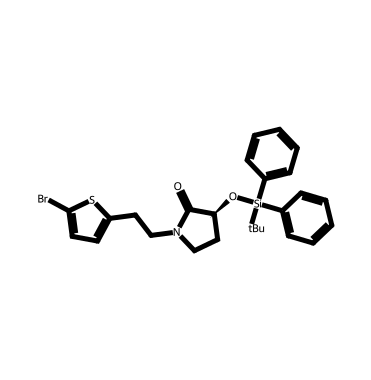 CC(C)(C)[Si](O[C@H]1CCN(CCc2ccc(Br)s2)C1=O)(c1ccccc1)c1ccccc1